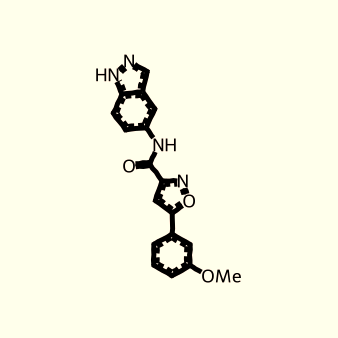 COc1cccc(-c2cc(C(=O)Nc3ccc4[nH]ncc4c3)no2)c1